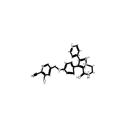 N#Cc1ncc(COc2ccc(-c3c(-c4ccncc4)nn4c3C(=O)NCC4)cc2)cc1Cl